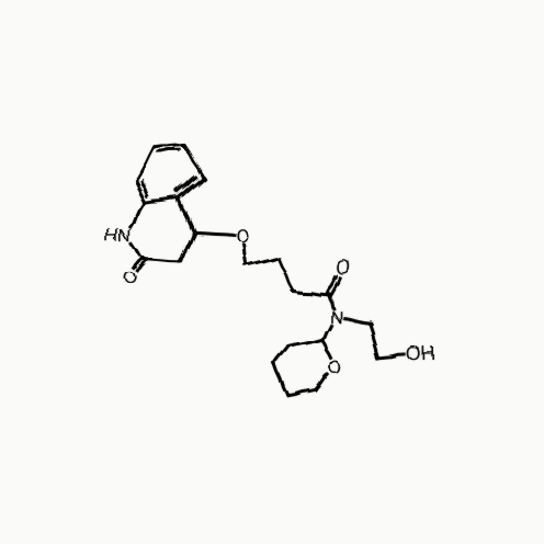 O=C1CC(OCCCC(=O)N(CCO)C2CCCCO2)c2ccccc2N1